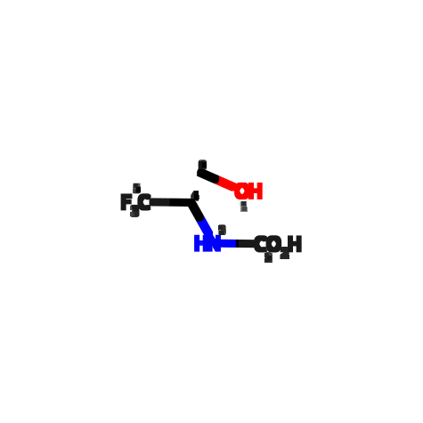 CO.O=C(O)NCC(F)(F)F